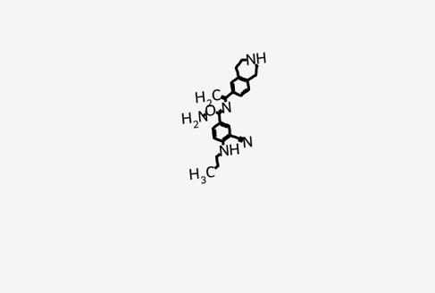 C=C(/N=C(\ON)c1ccc(NCCC)c(C#N)c1)c1ccc2c(c1)CCNCC2